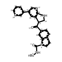 CCCCNC(=O)n1ccc2ccc(C(=O)C3CNc4ncc(-c5cccnc5)cc43)cc21